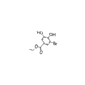 CCOC(=O)c1cc(O)c(O)c(Br)c1